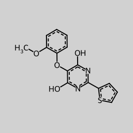 COc1ccccc1Oc1c(O)nc(-c2cccs2)nc1O